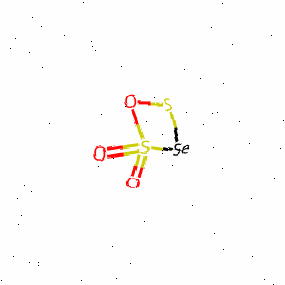 O=S1(=O)OS[Se]1